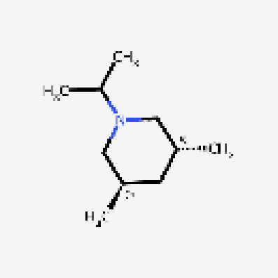 CC(C)N1C[C@H](C)C[C@@H](C)C1